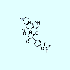 CC(=O)NC(c1ccncc1N1CCN(C)CC1)N1CC(=O)N(c2ccc(OC(F)(F)F)cc2)C1=O